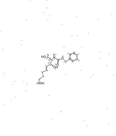 CCCCCCCCCCCCCC=C[C@H](O)[C@H](NC(=O)OCc1ccccc1)C(=O)O